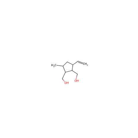 C=CC1CC(C)C(CO)C1CO